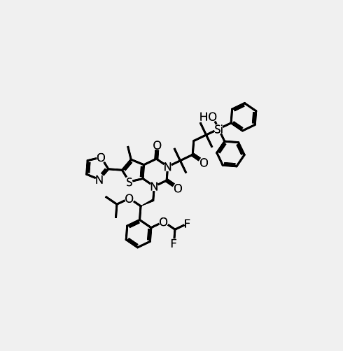 Cc1c(-c2ncco2)sc2c1c(=O)n(C(C)(C)C(=O)CC(C)(C)[Si](O)(c1ccccc1)c1ccccc1)c(=O)n2C[C@H](OC(C)C)c1ccccc1OC(F)F